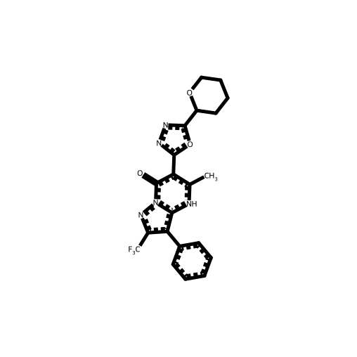 Cc1[nH]c2c(-c3ccccc3)c(C(F)(F)F)nn2c(=O)c1-c1nnc(C2CCCCO2)o1